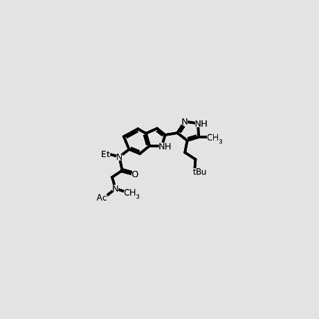 CCN(C(=O)CN(C)C(C)=O)c1ccc2cc(-c3n[nH]c(C)c3CCC(C)(C)C)[nH]c2c1